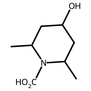 CC1CC(O)CC(C)N1C(=O)O